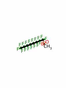 CS(=O)(=O)C(F)(F)C(F)(F)C(F)(F)C(F)(F)C(F)(F)C(F)(F)C(F)(F)C(F)(F)F